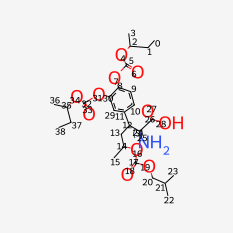 CCC(C)OC(=O)Oc1ccc(C(CC(C)OC(=O)OCC(C)C)[C@H](N)C(=O)O)cc1OC(=O)OC(C)CC